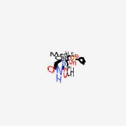 C#C[C@@](N=O)([C@H](O)[C@@H](COP(C)(=O)Cc1ccccc1)OC)n1ccc(=O)[nH]c1=O